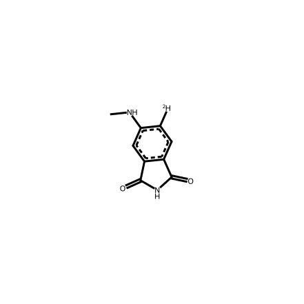 [2H]c1cc2c(cc1NC)C(=O)NC2=O